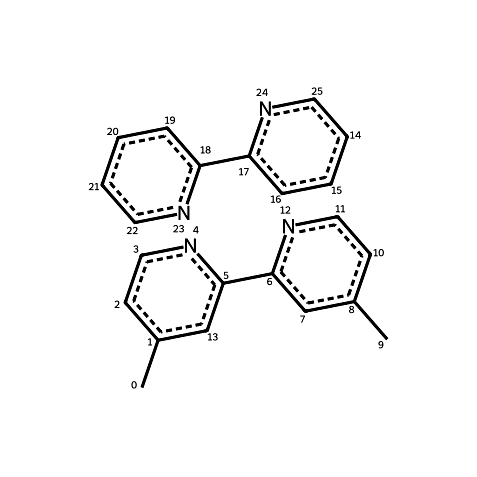 Cc1ccnc(-c2cc(C)ccn2)c1.c1ccc(-c2ccccn2)nc1